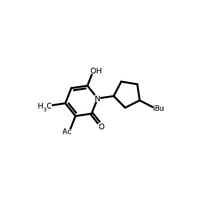 CCC(C)C1CCC(n2c(O)cc(C)c(C(C)=O)c2=O)C1